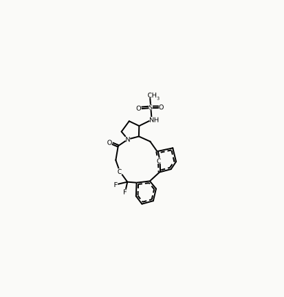 CS(=O)(=O)NC1CCN2C(=O)CCC(F)(F)c3ccccc3-c3cccc(c3)CC12